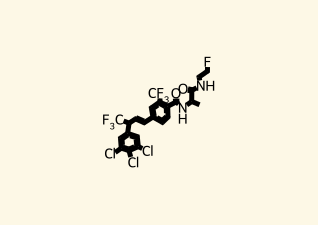 CC(NC(=O)c1ccc(C=CC(c2cc(Cl)c(Cl)c(Cl)c2)C(F)(F)F)cc1C(F)(F)F)C(=O)NCCF